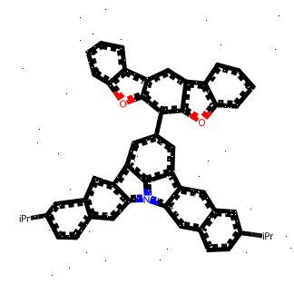 CC(C)c1ccc2cc3c(cc2c1)c1cc(-c2c4oc5ccccc5c4cc4c2oc2ccccc24)cc2c4cc5cc(C(C)C)ccc5cc4n3c12